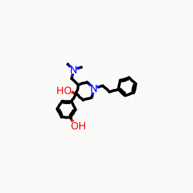 CN(C)CC1CN(CCc2ccccc2)CCC1(O)c1cccc(O)c1